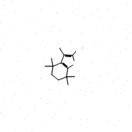 Cc1c(C=O)sc2c1C(C)(C)CCC2(C)C